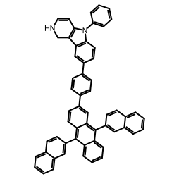 C1=Cc2c(c3cc(-c4ccc(-c5ccc6c(-c7ccc8ccccc8c7)c7ccccc7c(-c7ccc8ccccc8c7)c6c5)cc4)ccc3n2-c2ccccc2)CN1